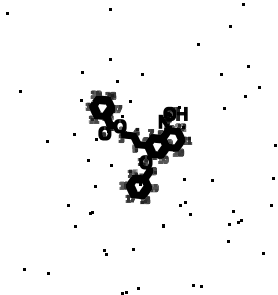 O=C(OCCCc1cc2c(cc1OCc1ccccc1)CCCC2=NO)c1ccccc1